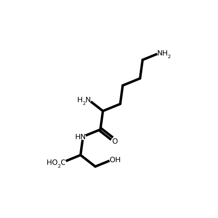 NCCCCC(N)C(=O)NC(CO)C(=O)O